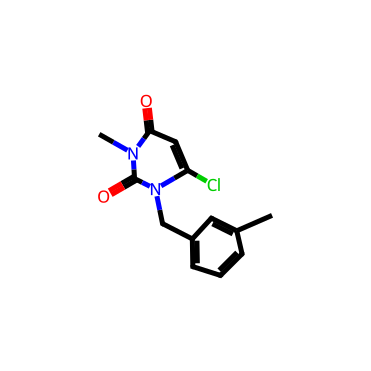 Cc1cccc(Cn2c(Cl)cc(=O)n(C)c2=O)c1